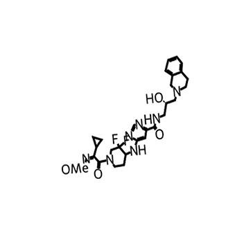 CO/N=C(\C(=O)N1CCC(Nc2cc(C(=O)NC[C@H](O)CN3CCc4ccccc4C3)ncn2)C(F)(F)C1)C1CC1